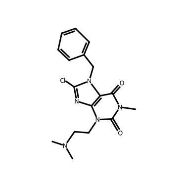 CN(C)CCn1c(=O)n(C)c(=O)c2c1nc(Cl)n2Cc1ccccc1